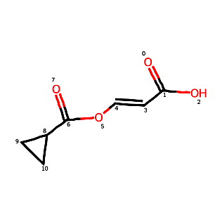 O=C(O)C=COC(=O)C1CC1